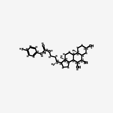 CC[C@@H]1C2C[C@H](O)CC[C@]2(C)C2CC[C@@]3(C)C(CCC3[C@H](C)CCO[PH](=O)Oc3ccc(F)cc3)C2[C@@H]1O